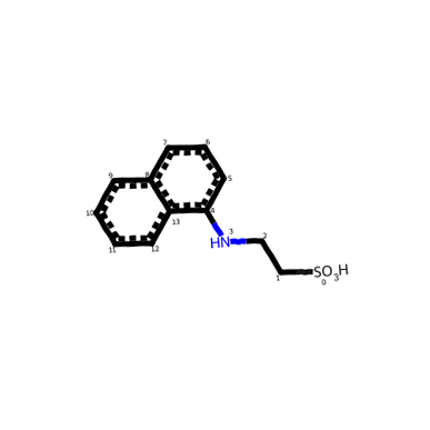 O=S(=O)(O)CCNc1cccc2ccccc12